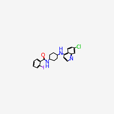 O=C(NC1CCC(Nc2ccnc3cc(Cl)ccc23)CC1)c1ccccc1I